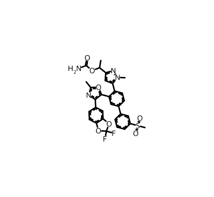 Cc1nc(-c2ccc3c(c2)OC(F)(F)O3)c(-c2cc(-c3cccc(S(C)(=O)=O)c3)ccc2-c2cc(C(C)OC(N)=O)nn2C)o1